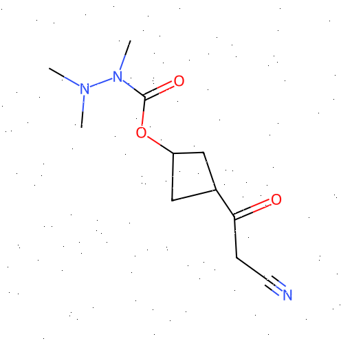 CN(C)N(C)C(=O)OC1CC(C(=O)CC#N)C1